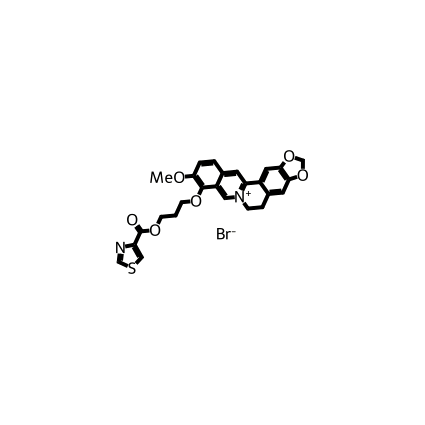 COc1ccc2cc3[n+](cc2c1OCCCOC(=O)c1cscn1)CCc1cc2c(cc1-3)OCO2.[Br-]